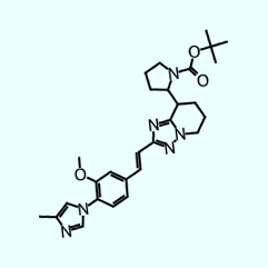 COc1cc(/C=C/c2nc3n(n2)CCCC3C2CCCN2C(=O)OC(C)(C)C)ccc1-n1cnc(C)c1